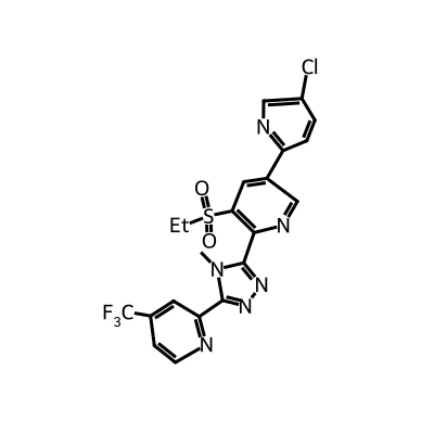 CCS(=O)(=O)c1cc(-c2ccc(Cl)cn2)cnc1-c1nnc(-c2cc(C(F)(F)F)ccn2)n1C